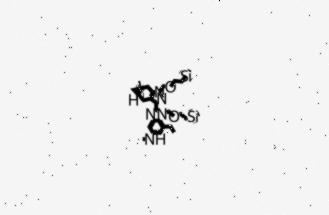 CCc1cc(NC)cc2nc(-c3nn(COCC[Si](C)(C)C)c4c3C[C@@H]3C[C@]3(C)C4)n(COCC[Si](C)(C)C)c12